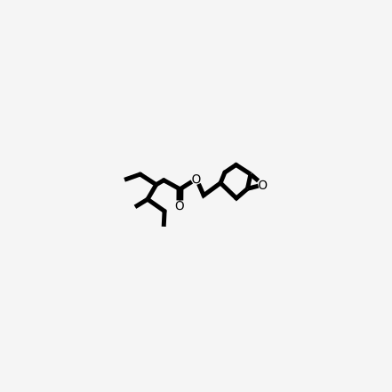 CCC(C)C(CC)CC(=O)OCC1CCC2OC2C1